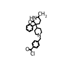 C=C1CCC(c2ccccc2)(C2CCN(Cc3ccc(C(=O)Cl)cc3)CC2)C(=O)N1